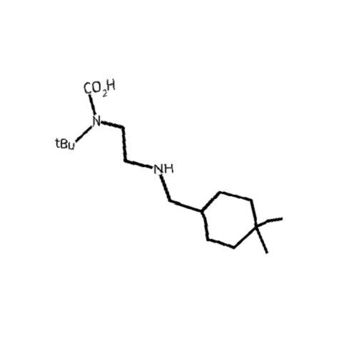 CC1(C)CCC(CNCCN(C(=O)O)C(C)(C)C)CC1